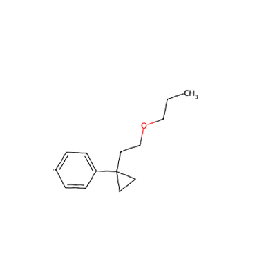 CCCOCCC1(c2cc[c]cc2)CC1